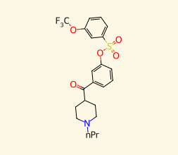 CCCN1CCC(C(=O)c2cccc(OS(=O)(=O)c3cccc(OC(F)(F)F)c3)c2)CC1